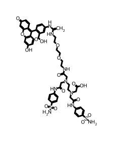 C=C(NCCOCCOCCNC(=O)CN(CCN(CC(=O)O)CC(=O)Nc1ccc(S(N)(=O)=O)cc1)CC(=O)Nc1ccc(S(N)(=O)=O)cc1)Nc1ccc(-c2c3ccc(=O)cc-3oc3cc(O)ccc23)c(C(=O)O)c1